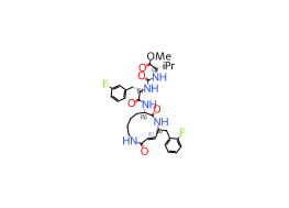 COC(=O)[C@@H](NC(=O)N[C@@H](Cc1cccc(F)c1)C(=O)N[C@H]1CCCCNC(=O)/C=C/[C@H](Cc2ccccc2F)NC1=O)C(C)C